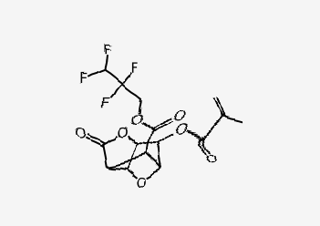 C=C(C)C(=O)OC1C2OC(=O)C3C2OC1C3C(=O)OCC(F)(F)C(F)F